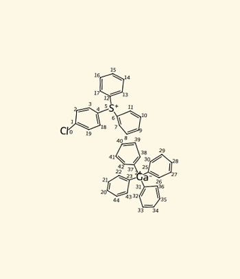 Clc1ccc([S+](c2ccccc2)c2ccccc2)cc1.c1cc[c]([Ga-]([c]2ccccc2)([c]2ccccc2)[c]2ccccc2)cc1